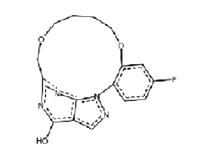 Oc1nc2nc3c1cnn3-c1ccc(F)cc1OCCCCOC2